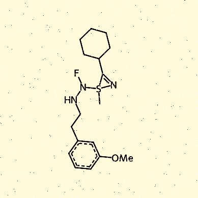 COc1cccc(CCNN(F)S2(C)N=C2C2CCCCC2)c1